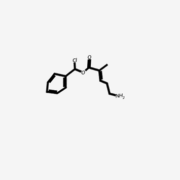 CC(=CCCN)C(=O)OC(Cl)c1ccccc1